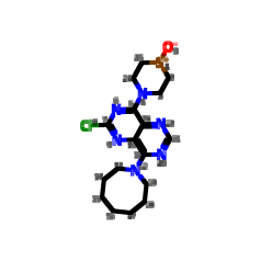 [O-][S+]1CCN(c2nc(Cl)nc3c(N4CCCCCCC4)ncnc23)CC1